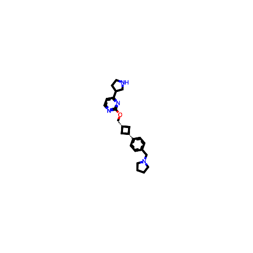 c1cc(C2CCNC2)nc(OC[C@H]2C[C@@H](c3ccc(CN4CCCC4)cc3)C2)n1